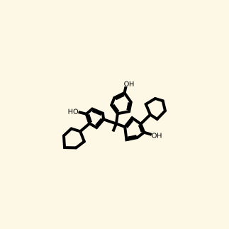 CC(c1ccc(O)cc1)(c1ccc(O)c(C2CCCCC2)c1)c1ccc(O)c(C2CCCCC2)c1